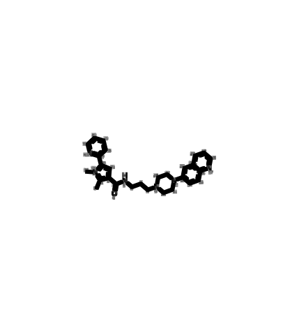 Cc1c(C(=O)NCCCN2CCN(c3ccc4ncccc4c3)CC2)cc(-c2ccccn2)n1C